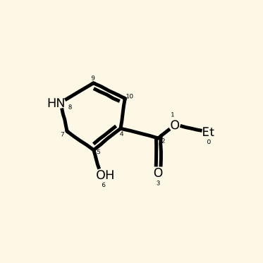 CCOC(=O)C1=C(O)CNC=C1